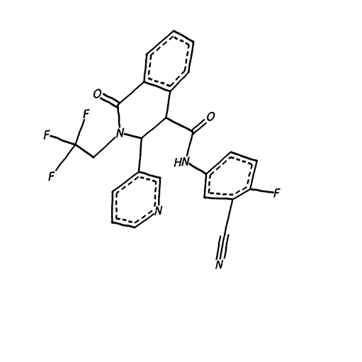 N#Cc1cc(NC(=O)C2c3ccccc3C(=O)N(CC(F)(F)F)C2c2cccnc2)ccc1F